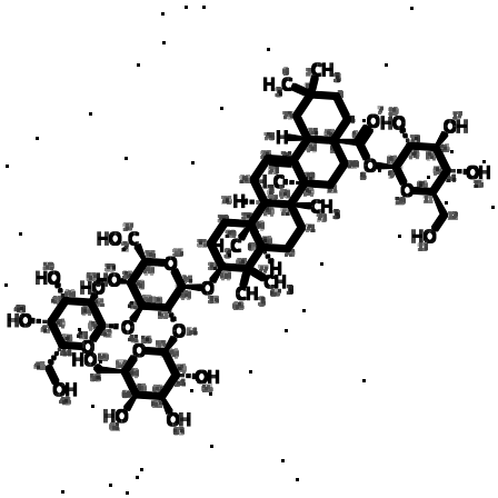 CC1(C)CC[C@]2(C(=O)O[C@@H]3O[C@H](CO)[C@@H](O)[C@H](O)[C@H]3O)CC[C@]3(C)C(=CC[C@@H]4[C@@]5(C)CC[C@H](O[C@@H]6O[C@H](C(=O)O)[C@@H](O)[C@H](O[C@@H]7O[C@H](CO)[C@H](O)[C@H](O)[C@H]7O)[C@H]6O[C@@H]6O[C@H](CO)[C@H](O)[C@H](O)[C@H]6O)C(C)(C)[C@@H]5CC[C@]43C)[C@@H]2C1